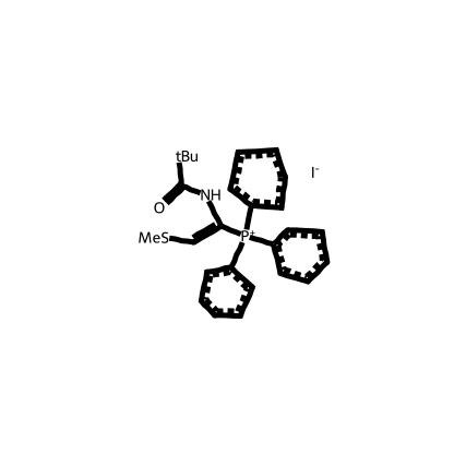 CSC=C(NC(=O)C(C)(C)C)[P+](c1ccccc1)(c1ccccc1)c1ccccc1.[I-]